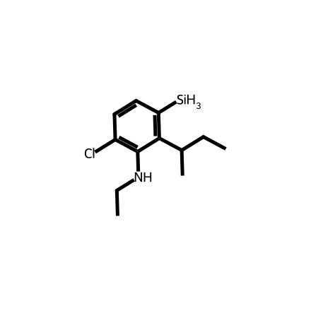 CCNc1c(Cl)ccc([SiH3])c1C(C)CC